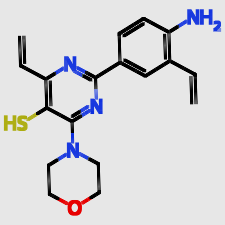 C=Cc1cc(-c2nc(C=C)c(S)c(N3CCOCC3)n2)ccc1N